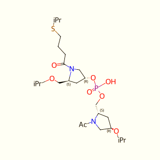 CC(=O)N1C[C@H](OC(C)C)C[C@H]1COP(=O)(O)O[C@@H]1C[C@@H](COC(C)C)N(C(=O)CCCSC(C)C)C1